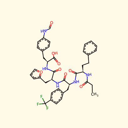 CCC(=O)N[C@H](CCc1ccccc1)C(=O)N[C@@H](Cc1ccc(C(F)(F)F)cc1)C(=O)N[C@@H](Cc1ccco1)C(=O)N[C@@H](Cc1ccc(NC=O)cc1)C(=O)O